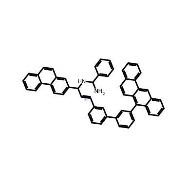 NC(NC(/C=C/c1cccc(-c2cccc(-c3c4ccccc4cc4c3ccc3ccccc34)c2)c1)c1ccc2c(ccc3ccccc32)c1)c1ccccc1